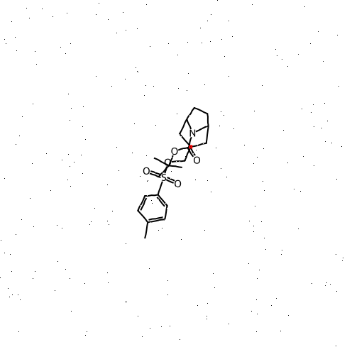 Cc1ccc(S(=O)(=O)OCC2CC3CCC(C2)N3C(=O)OC(C)(C)C)cc1